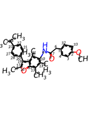 COc1ccc(CC(=O)Nc2c(C)c(C)c3oc(C)c(-c4ccc(C(C)C)cc4)c3c2C)cc1